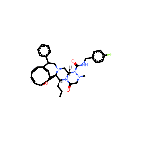 CCC[C@@H]1N2C(=O)CN(C)N(C(=O)NCc3ccc(F)cc3)[C@H]2CN2CC(c3ccccc3)C3=CC4OC(/C=C\C=C/3)C412